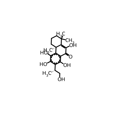 C[C@@H](CO)c1c(O)c(O)c2c(c1O)C(=O)C(O)=C1C(C)(C)CCC[C@@]12C